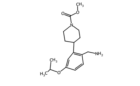 COC(=O)N1CCC(c2cc(OC(C)C)ccc2CN)CC1